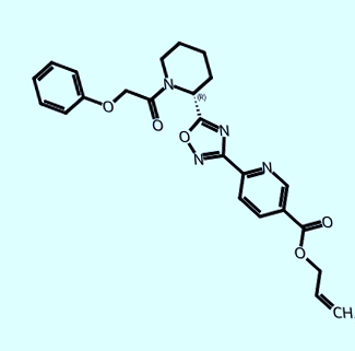 C=CCOC(=O)c1ccc(-c2noc([C@H]3CCCCN3C(=O)COc3ccccc3)n2)nc1